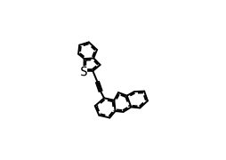 C(#Cc1cccc2cc3ccccc3cc12)c1cc2ccccc2s1